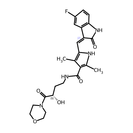 Cc1[nH]c(/C=C2\C(=O)Nc3ccc(F)cc32)c(C)c1C(=O)NCC[C@H](O)C(=O)N1CCOCC1